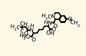 COc1ccc2c(c1)CCN(C)C2C(=O)NC(CCCCC(NC(=O)CC(C)(C)C)C(=O)O)C(=O)O